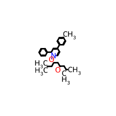 Cc1ccc(C2=CC(c3ccccc3)N(OC(CC(=O)CC(C)C)CC(C)C)C=C2)cc1